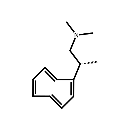 C[C@@H](CN(C)C)C1=C/C=C/C=C\C=C\1